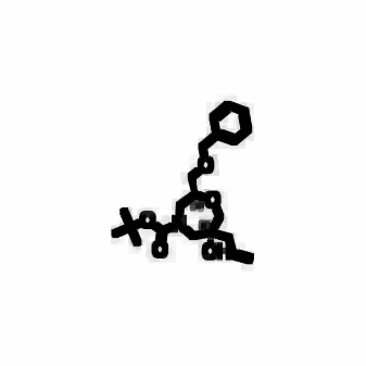 C=CC[C@]1(O)CO[C@H](COCc2ccccc2)CN(C(=O)OC(C)(C)C)C1